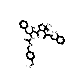 COc1ccc(CNC(=O)NC(Cc2ccccc2)C(O)C(=O)N2CSC(C)(C)C2C(=O)NCc2ccccc2C)cc1